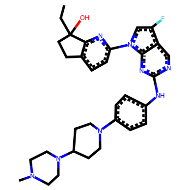 CCC1(O)CCc2ccc(-n3cc(F)c4cnc(Nc5ccc(N6CCC(N7CCN(C)CC7)CC6)cc5)nc43)nc21